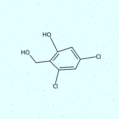 OCc1c(O)cc(Cl)cc1Cl